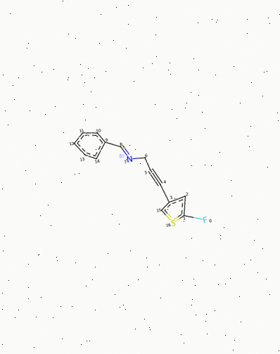 Fc1cc(C#CC/N=C/c2ccccc2)cs1